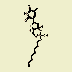 CCCCCCCCO[PH]1(O)OC[C@H]2O[C@@H](n3cc(C)c(=O)[nH]c3=O)C[C@@H]2O1